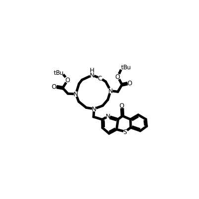 CC(C)(C)OC(=O)CN1CCNCCN(CC(=O)OC(C)(C)C)CCN(Cc2ccc3sc4ccccc4c(=O)c3n2)CC1